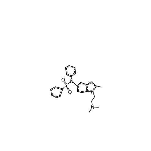 Cc1cc2cc(N(c3ccccc3)S(=O)(=O)c3ccccc3)ccc2n1CCN(C)C